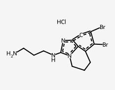 Cl.NCCCNc1nc2cc(Br)c(Br)c3c2n1CCC3